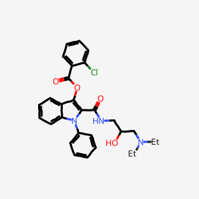 CCN(CC)CC(O)CNC(=O)c1c(OC(=O)c2ccccc2Cl)c2ccccc2n1-c1ccccc1